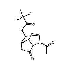 CC(=O)C1C2CC3C(OC(=O)C31)C2OC(=O)C(C)(F)F